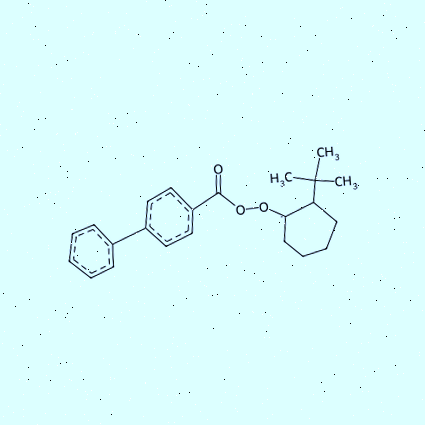 CC(C)(C)C1CCCC[C]1OOC(=O)c1ccc(-c2ccccc2)cc1